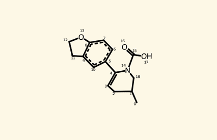 CC1CC=C(c2ccc3c(c2)CCO3)N(C(=O)O)C1